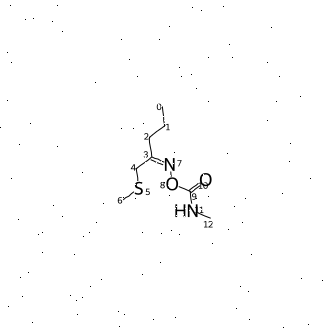 CCCC(CSC)=NOC(=O)NC